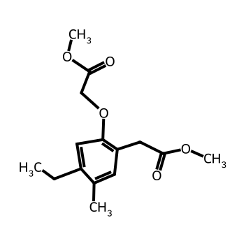 CCc1cc(OCC(=O)OC)c(CC(=O)OC)cc1C